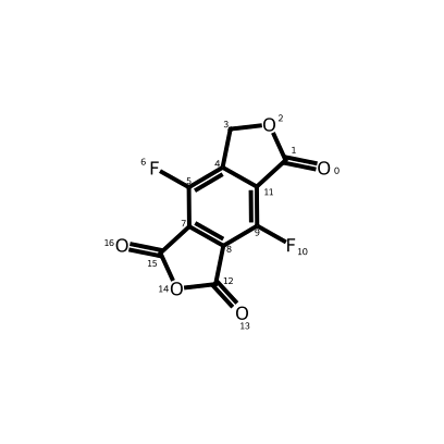 O=C1OCc2c(F)c3c(c(F)c21)C(=O)OC3=O